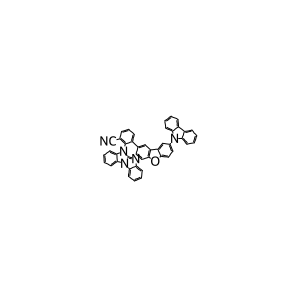 N#Cc1cccc(-c2ccc3oc4ccc(-n5c6ccccc6c6ccccc65)cc4c3c2)c1-n1c2ccccc2n2c3ccccc3nc12